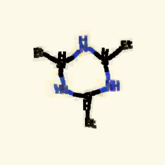 CC[SiH]1N[SiH](CC)N[SiH](CC)N1